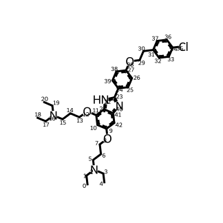 CCN(CC)CCCOc1cc(OCCCN(CC)CC)c2[nH]c(-c3ccc(OCCc4ccc(Cl)cc4)cc3)nc2c1